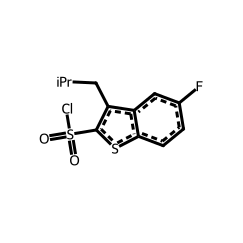 CC(C)Cc1c(S(=O)(=O)Cl)sc2ccc(F)cc12